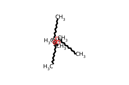 CCCCCCCCCCC[Si]1(C)O[Si](C)(CCCCCCCCCCC)O[Si](C)(CCCCCCCCCCC)O1